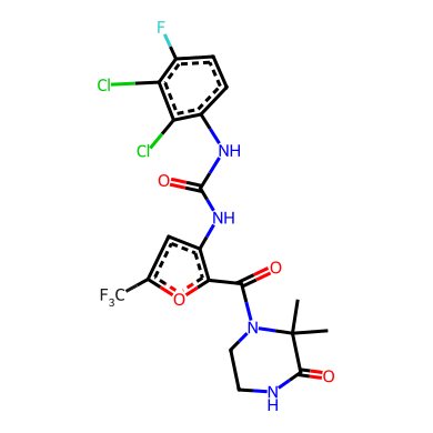 CC1(C)C(=O)NCCN1C(=O)c1oc(C(F)(F)F)cc1NC(=O)Nc1ccc(F)c(Cl)c1Cl